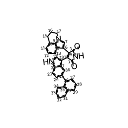 O=C1NC(=O)C(c2cn3c4c(cccc24)CCC3)=C1c1c[nH]c2ccc(-c3cccc4ccccc34)cc12